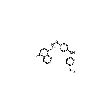 CN(/N=C/c1cc[n+](C)c2ccccc12)c1ccc(Nc2ccc(N)cc2)cc1